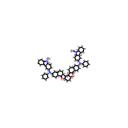 CCn1c2ccccc2c2cc(N(c3ccccc3)c3ccc4c(ccc5c4oc4ccc6oc7c8ccc(N(c9ccccc9)c9ccc%10c(c9)c9ccccc9n%10CC)cc8ccc7c6c45)c3)ccc21